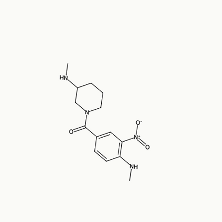 CNc1ccc(C(=O)N2CCCC(NC)C2)cc1[N+](=O)[O-]